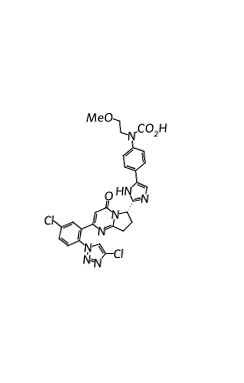 COCCN(C(=O)O)c1ccc(-c2cnc([C@@H]3CCc4nc(-c5cc(Cl)ccc5-n5cc(Cl)nn5)cc(=O)n43)[nH]2)cc1